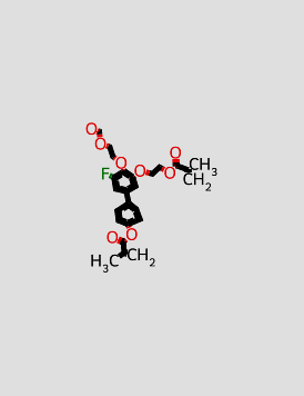 C=C(C)C(=O)OCCOc1cc(-c2ccc(OC(=O)C(=C)C)cc2)cc(F)c1OCCOC=O